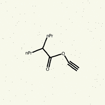 C#COC(=O)C(CCC)CCC